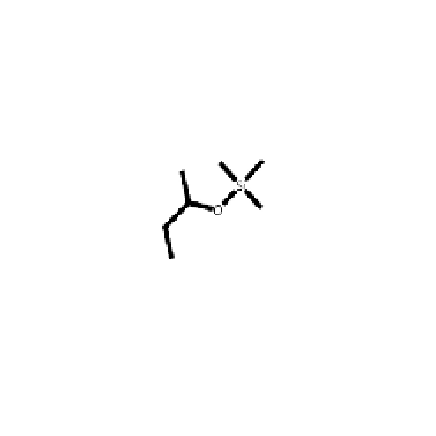 CC[C](C)O[Si](C)(C)C